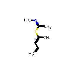 C=C/C=C(\C)S/C(C)=N\C